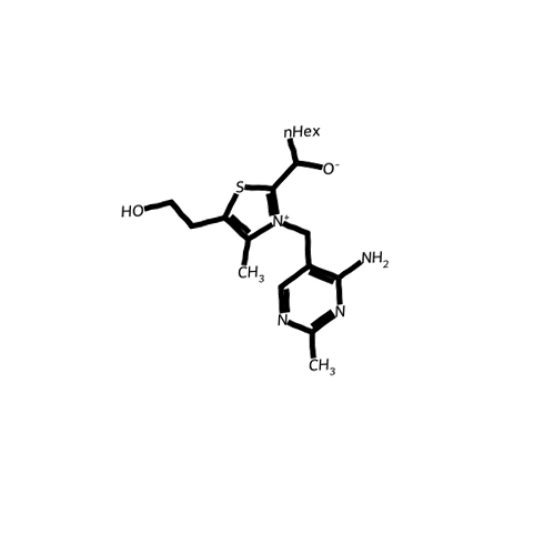 CCCCCCC([O-])c1sc(CCO)c(C)[n+]1Cc1cnc(C)nc1N